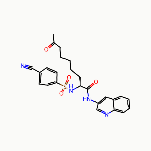 CC(=O)CCCCC[C@H](NS(=O)(=O)c1ccc(C#N)cc1)C(=O)Nc1cnc2ccccc2c1